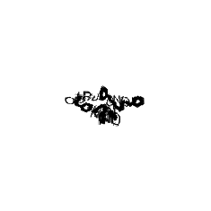 Cn1c(=O)n(-c2ccc(OCc3ccccc3)nc2OCc2ccccc2)c2ccc(N3CCC(CC(=O)OC(C)(C)C)CC3)nc21